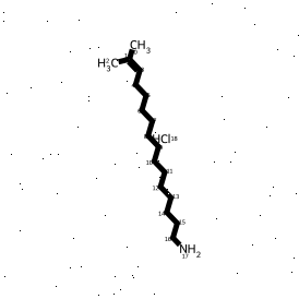 CC(C)=CCCCCCCCCCCCCCN.Cl